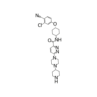 N#Cc1ccc(O[C@H]2CC[C@H](NC(=O)c3ccc(N4CCN(C5CCNCC5)CC4)nn3)CC2)cc1Cl